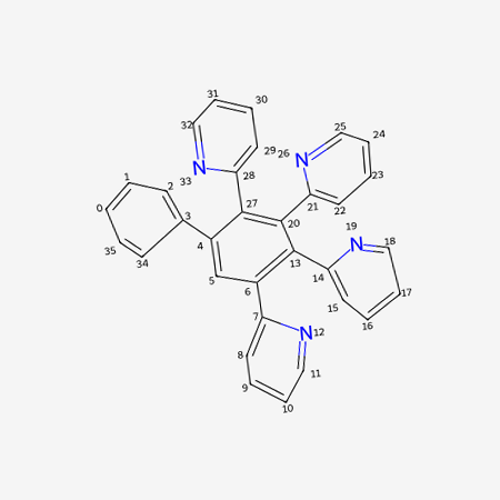 c1ccc(-c2cc(-c3ccccn3)c(-c3ccccn3)c(-c3ccccn3)c2-c2ccccn2)cc1